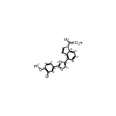 CCC(C(=O)O)n1ccc2c(-c3noc(-c4ccc(OC(C)C)c(Cl)c4)n3)cccc21